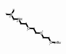 CCCCOCCOCCOCCNCB(C)C